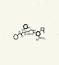 CC(=O)N(C)c1cc(C(=O)N[C@@H](Cc2ccccc2)[C@H](O)CN[C@@H](C)C(=O)NC2CCCCC2)cc(N2CCCC2=O)c1